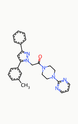 Cc1cccc(-c2cc(-c3ccccc3)nn2CC(=O)N2CCN(c3ncccn3)CC2)c1